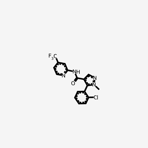 Cn1ncc(C(=O)Nc2cc(C(F)(F)F)ccn2)c1-c1ccccc1Cl